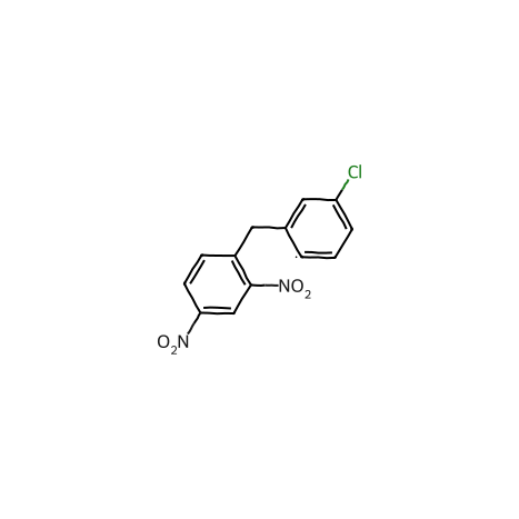 O=[N+]([O-])c1ccc(Cc2[c]ccc(Cl)c2)c([N+](=O)[O-])c1